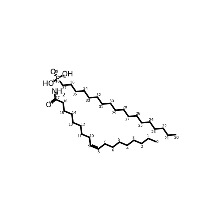 CCCCCCCC/C=C\CCCCCCCC(N)=O.CCCCCCCCCCCCCCCCCCP(=O)(O)O